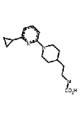 O=C(O)NCCC1CCN(c2cccc(C3CC3)n2)CC1